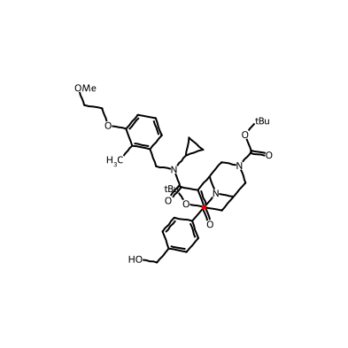 COCCOc1cccc(CN(C(=O)C2=C(c3ccc(CO)cc3)CC3CN(C(=O)OC(C)(C)C)CC2N3C(=O)OC(C)(C)C)C2CC2)c1C